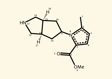 COC(=O)c1ccc(C)n1C1C[C@H]2CNC[C@H]2C1